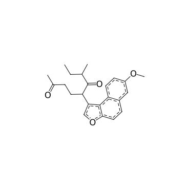 CCC(C)C(=O)C(CCC(C)=O)c1coc2ccc3cc(OC)ccc3c12